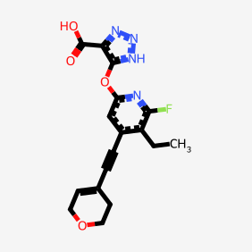 CCc1c(C#CC2=CCOCC2)cc(Oc2[nH]nnc2C(=O)O)nc1F